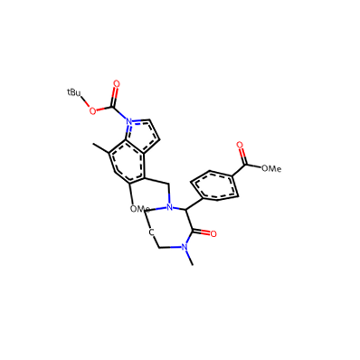 COC(=O)c1ccc(C2C(=O)N(C)CCCN2Cc2c(OC)cc(C)c3c2ccn3C(=O)OC(C)(C)C)cc1